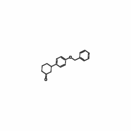 O=C1CCCC(c2ccc(OCc3ccccc3)cc2)C1